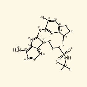 CC(C)(C)NS(=O)(=O)CCCn1c(Sc2cc3c(cc2I)CCC3F)nc2c(N)ncnc21